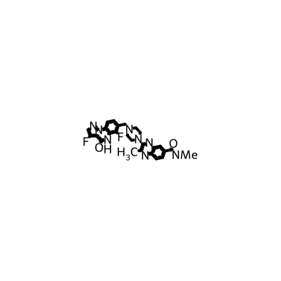 CNC(=O)c1ccc2nc(C)c(N3CCN(Cc4ccc5c([nH]c(=O)c6c(F)cnn65)c4F)CC3)nc2c1